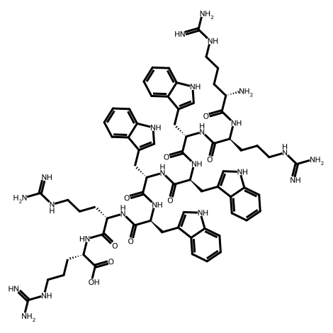 N=C(N)NCCC[C@H](NC(=O)[C@H](CCCNC(=N)N)NC(=O)[C@H](Cc1c[nH]c2ccccc12)NC(=O)[C@H](Cc1c[nH]c2ccccc12)NC(=O)[C@H](Cc1c[nH]c2ccccc12)NC(=O)[C@H](Cc1c[nH]c2ccccc12)NC(=O)[C@H](CCCNC(=N)N)NC(=O)[C@@H](N)CCCNC(=N)N)C(=O)O